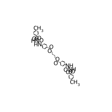 Cc1ccc(S(=O)(=O)NC(=O)Nc2ccc(C(=O)OCCCCOC(=O)c3ccc(NC(=O)NS(=O)(=O)c4ccc(C)cc4)cc3)cc2)cc1